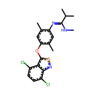 CNC(=Nc1cc(C)c(Oc2snc3c(Cl)ccc(Cl)c23)cc1C)C(C)C